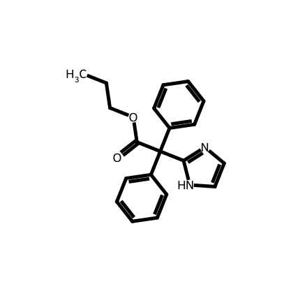 CCCOC(=O)C(c1ccccc1)(c1ccccc1)c1ncc[nH]1